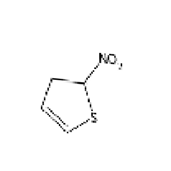 O=[N+]([O-])[C]1CC=CS1